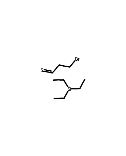 CC[Si](CC)CC.S=CCCBr